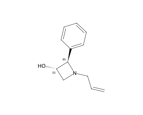 C=CCN1C[C@H](O)[C@H]1c1ccccc1